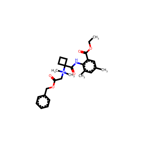 CCOC(=O)c1cc(C)cc(C)c1NC(=O)C1([N+](C)(C)CC(=O)OCc2ccccc2)CCC1